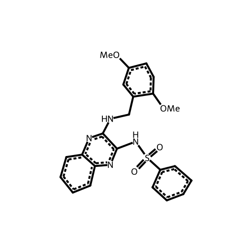 COc1ccc(OC)c(CNc2nc3ccccc3nc2NS(=O)(=O)c2ccccc2)c1